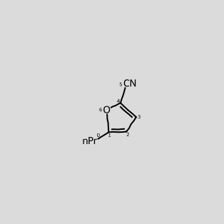 CCCc1ccc(C#N)o1